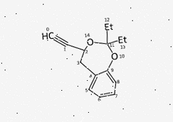 C#CC1Cc2ccccc2OC(CC)(CC)O1